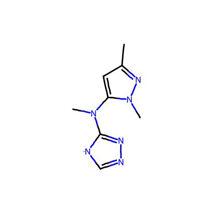 Cc1cc(N(C)C2=NN=C[N]2)n(C)n1